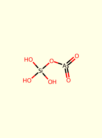 O=[As](=O)O[Si](O)(O)O